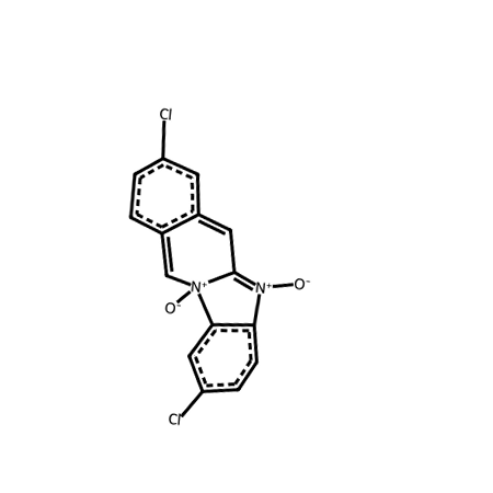 [O-][N+]1=C2C=c3cc(Cl)ccc3=C[N+]2([O-])c2cc(Cl)ccc21